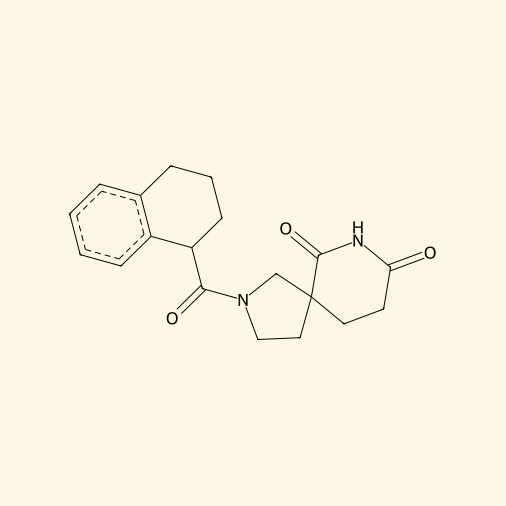 O=C1CCC2(CCN(C(=O)C3CCCc4ccccc43)C2)C(=O)N1